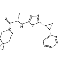 C[C@H](Nc1nnc([C@@H]2C[C@@H]2c2ccccn2)o1)C(=O)N1CCC2(CC1)CC2